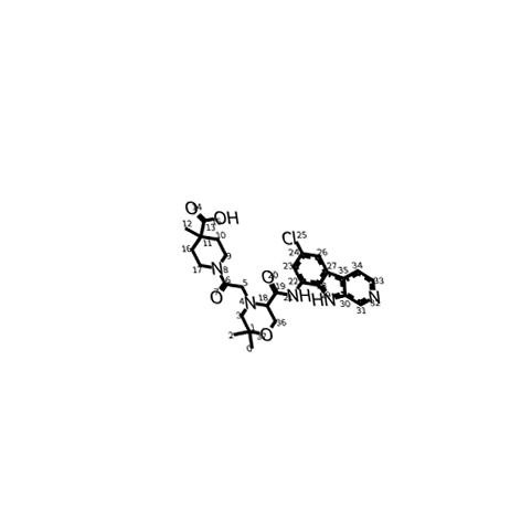 CC1(C)CN(CC(=O)N2CCC(C)(C(=O)O)CC2)C(C(=O)Nc2cc(Cl)cc3c2[nH]c2cnccc23)CO1